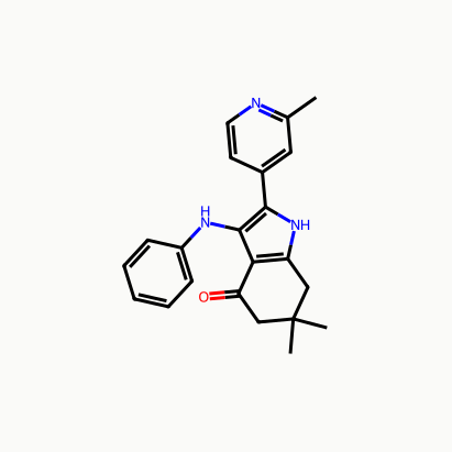 Cc1cc(-c2[nH]c3c(c2Nc2ccccc2)C(=O)CC(C)(C)C3)ccn1